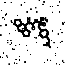 CN(C)Cc1ccc(C[S@@](N)(=O)=NC(=O)Nc2c3c(cc4c2CCC4)CCC3)cc1